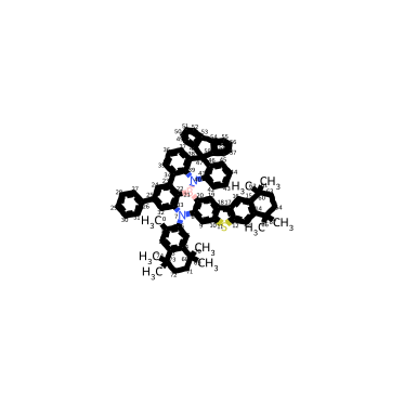 Cc1cc2c(cc1N1c3cc4sc5cc6c(cc5c4cc3B3c4c(cc(-c5ccccc5)cc41)-c1cccc4c1N3c1ccccc1C41c3ccccc3-c3ccccc31)C(C)(C)CCC6(C)C)C(C)(C)CCC2(C)C